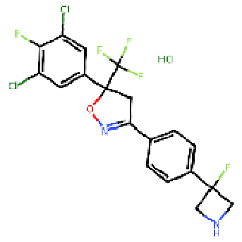 Cl.Fc1c(Cl)cc(C2(C(F)(F)F)CC(c3ccc(C4(F)CNC4)cc3)=NO2)cc1Cl